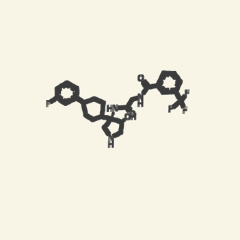 O=C(CNC(=O)c1cccc(C(F)(F)F)c1)N[C@@]1(C2CCC(c3cccc(F)c3)CC2)CNC[C@@H]1O